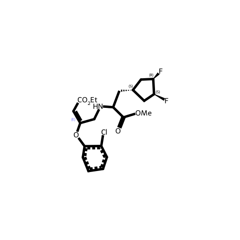 CCOC(=O)/C=C(\CNC(C[C@@H]1C[C@@H](F)[C@@H](F)C1)C(=O)OC)Oc1ccccc1Cl